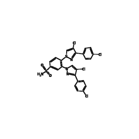 NS(=O)(=O)c1ccc(-n2cc(Cl)c(-c3ccc(Cl)cc3)n2)c(-n2cc(Cl)c(-c3ccc(Cl)cc3)n2)c1